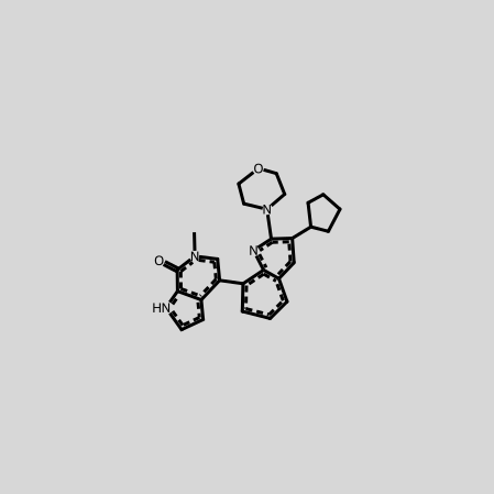 Cn1cc(-c2cccc3cc(C4CCCC4)c(N4CCOCC4)nc23)c2cc[nH]c2c1=O